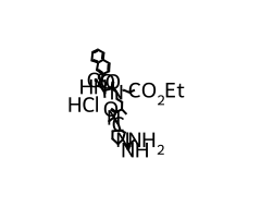 CCOC(=O)CCN(CCC(C)C(=O)N(C)CC1CCCN(C(=N)N)C1)C(=O)C(C)NS(=O)(=O)c1ccc2ccccc2c1.Cl